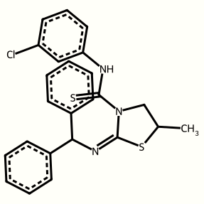 CC1CN(C(=S)Nc2cccc(Cl)c2)/C(=N\C(c2ccccc2)c2ccccc2)S1